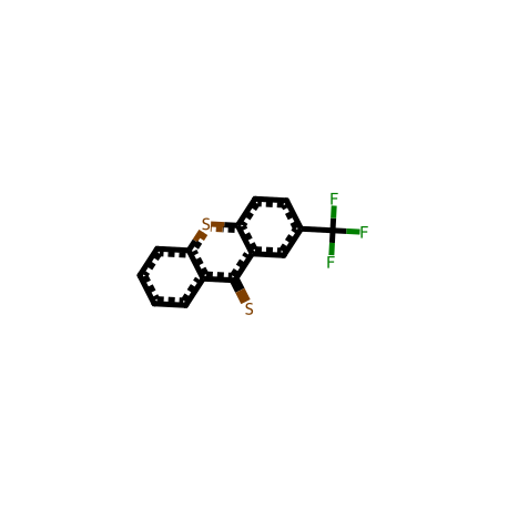 FC(F)(F)c1ccc2sc3ccccc3c(=S)c2c1